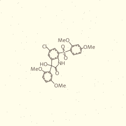 COc1ccc(S(=O)(=O)c2cc(Cl)cc3c2NC(=O)C3(O)c2cc(OC)ccc2OC)c(OC)c1